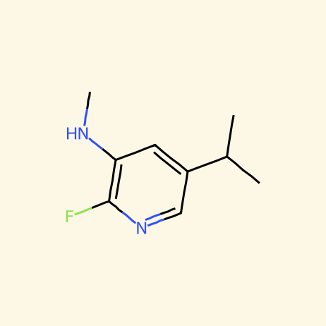 CNc1cc(C(C)C)cnc1F